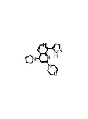 c1cc(-c2nccc3c(N4CCCC4)cc(N4CCOCC4)nc23)[nH]n1